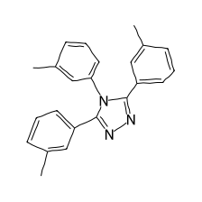 Cc1cccc(-c2nnc(-c3cccc(C)c3)n2-c2cccc(C)c2)c1